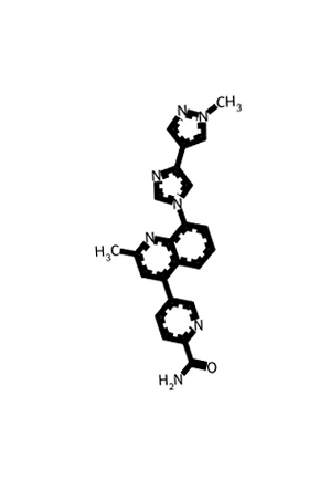 Cc1cc(-c2ccc(C(N)=O)nc2)c2cccc(-n3cnc(-c4cnn(C)c4)c3)c2n1